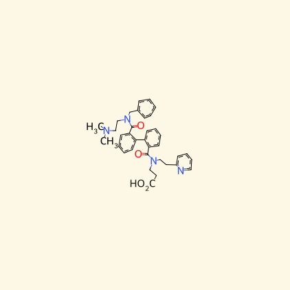 CN(C)CCN(Cc1ccccc1)C(=O)c1ccccc1-c1ccccc1C(=O)N(CCC(=O)O)CCc1ccccn1